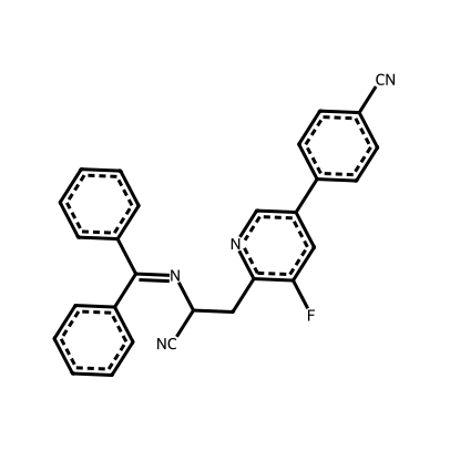 N#Cc1ccc(-c2cnc(CC(C#N)N=C(c3ccccc3)c3ccccc3)c(F)c2)cc1